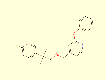 CC(C)(COCc1ccnc(Oc2ccccc2)c1)c1ccc(Cl)cc1